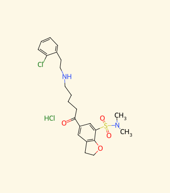 CN(C)S(=O)(=O)c1cc(C(=O)CCCCNCCc2ccccc2Cl)cc2c1OCC2.Cl